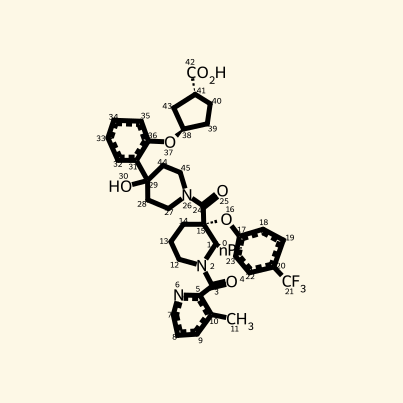 CCC[C@H]1N(C(=O)c2ncccc2C)CCC[C@@]1(Oc1ccc(C(F)(F)F)cc1)C(=O)N1CCC(O)(c2ccccc2O[C@@H]2CC[C@@H](C(=O)O)C2)CC1